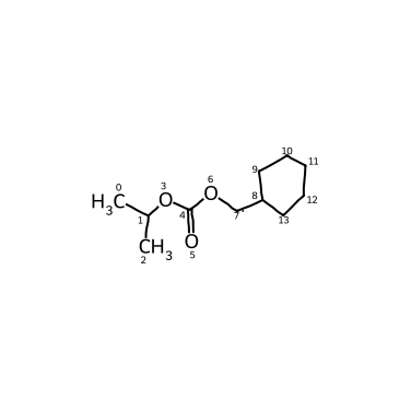 CC(C)OC(=O)O[CH]C1CCCCC1